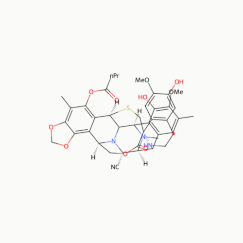 CCCC(=O)Oc1c(C)c2c(c3c1[C@H]1SC[C@]4(NCCc5cc(O)c(OC)cc54)C(=O)OC[C@@H]3N3C1[C@H]1c4c(cc(C)c(OC)c4O)C[C@@H]([C@@H]3C#N)N1C)OCO2